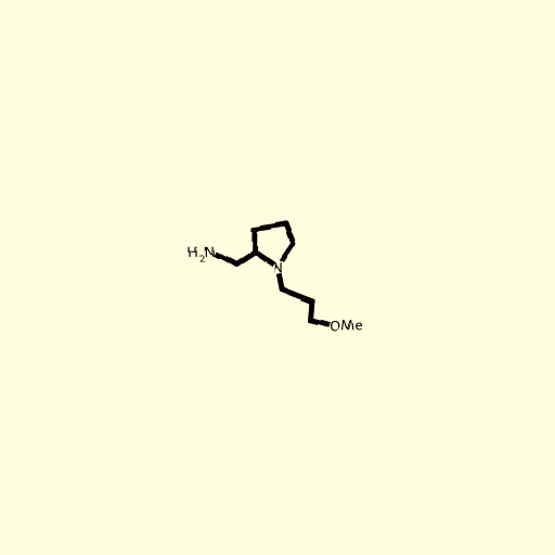 COCCCN1CCCC1CN